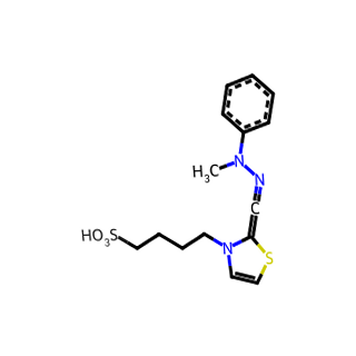 CN(N=C=C1SC=CN1CCCCS(=O)(=O)O)c1ccccc1